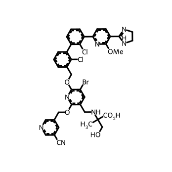 COc1nc(-c2cccc(-c3cccc(COc4nc(OCc5cncc(C#N)c5)c(CNC(C)(CO)C(=O)O)cc4Br)c3Cl)c2Cl)ccc1C1=NCCN1